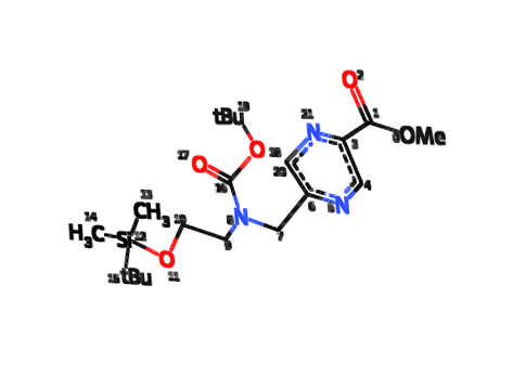 COC(=O)c1cnc(CN(CCO[Si](C)(C)C(C)(C)C)C(=O)OC(C)(C)C)cn1